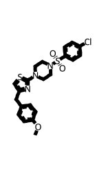 COc1ccc(Cc2csc(N3CCN(S(=O)(=O)c4ccc(Cl)cc4)CC3)n2)cc1